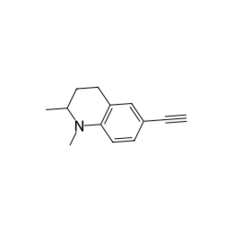 C#Cc1ccc2c(c1)CCC(C)N2C